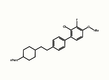 CCCCCC1CCC(CCc2ccc(-c3ccc(OCCCC)c(F)c3Cl)cc2)CC1